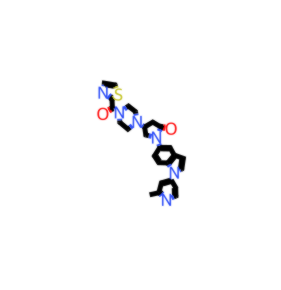 Cc1cc(-n2ccc3cc(N4CC(N5CCN(C(=O)c6nccs6)CC5)CC4=O)ccc32)ccn1